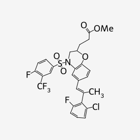 COC(=O)CCC1CN(S(=O)(=O)c2ccc(F)c(C(F)(F)F)c2)c2cc(/C=C(\C)c3c(F)cccc3Cl)ccc2O1